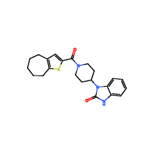 O=C(c1cc2c(s1)CCCCC2)N1CCC(n2c(=O)[nH]c3ccccc32)CC1